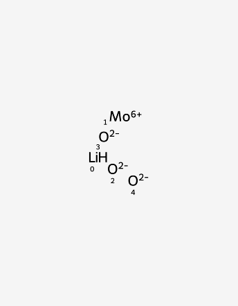 [LiH].[Mo+6].[O-2].[O-2].[O-2]